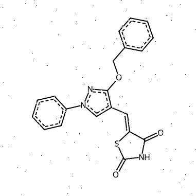 O=C1NC(=O)C(=Cc2cn(-c3ccccc3)nc2OCc2ccccc2)S1